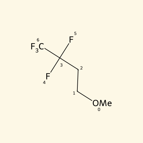 COCCC(F)(F)C(F)(F)F